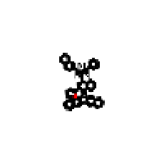 c1ccc(-c2nc(-c3ccc4ccccc4c3)nc(-c3cc(-c4ccccc4)c(-n4c5cc6ccccc6cc5c5cc6ccccc6cc54)c4ccccc34)n2)cc1